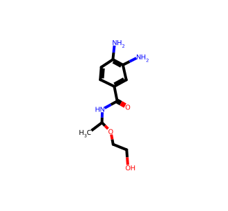 CC(NC(=O)c1ccc(N)c(N)c1)OCCO